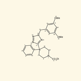 CCOC(=O)N1CCC(c2ccccc2)(c2nnn(Cc3cc(OC)cc(OC)c3)n2)CC1